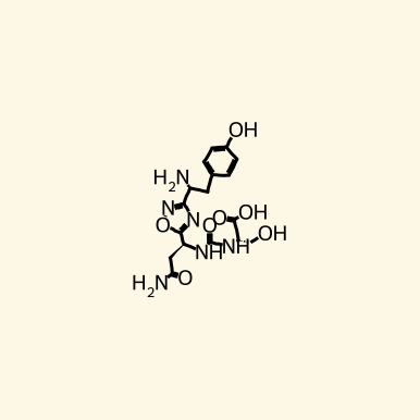 NC(=O)C[C@H](NC(=O)N[C@@H](CO)C(=O)O)c1nc([C@@H](N)Cc2ccc(O)cc2)no1